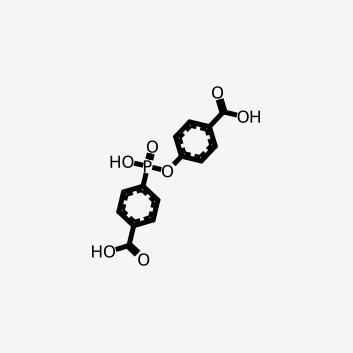 O=C(O)c1ccc(OP(=O)(O)c2ccc(C(=O)O)cc2)cc1